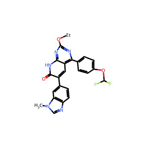 CCOc1nc(-c2ccc(OC(F)F)cc2)c2cc(-c3ccc4ncn(C)c4c3)c(=O)[nH]c2n1